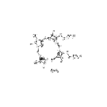 CCC1=C(C)c2cc3[nH]c(cc4nc(cc5[nH]c(cc1n2)c(C)c5CCC(=O)O)C(CCC(=O)O)=C4C)c(C)c3CC.[AsH3]